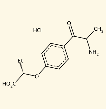 CC[C@H](Oc1ccc(C(=O)C(C)N)cc1)C(=O)O.Cl